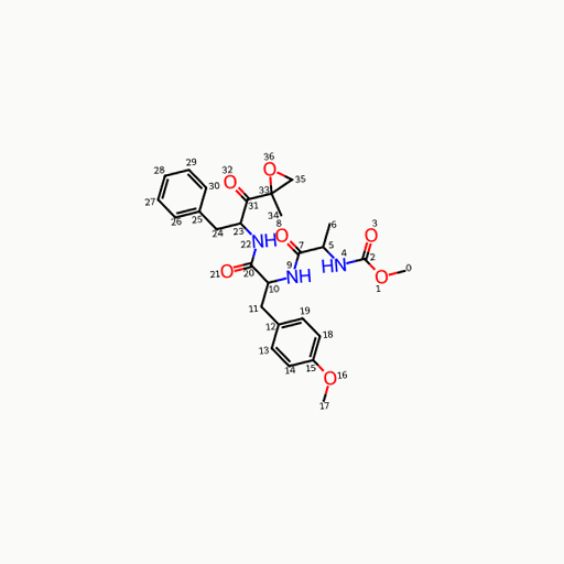 COC(=O)NC(C)C(=O)NC(Cc1ccc(OC)cc1)C(=O)NC(Cc1ccccc1)C(=O)C1(C)CO1